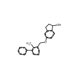 Cc1c(COc2ccc3c(c2)CCC3O)cccc1-c1ccccc1